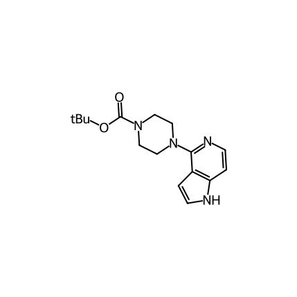 CC(C)(C)OC(=O)N1CCN(c2nccc3[nH]ccc23)CC1